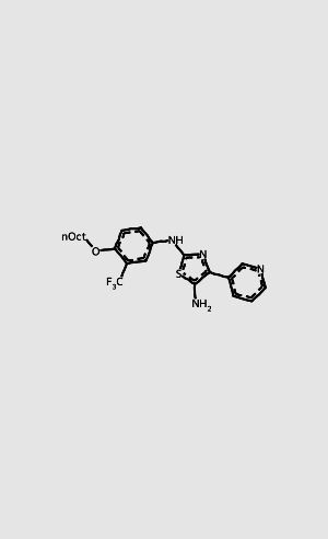 CCCCCCCCOc1ccc(Nc2nc(-c3cccnc3)c(N)s2)cc1C(F)(F)F